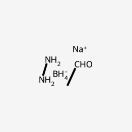 CC=O.NN.[BH4-].[Na+]